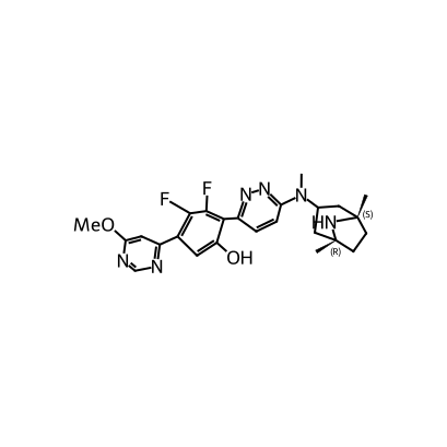 COc1cc(-c2cc(O)c(-c3ccc(N(C)C4C[C@]5(C)CC[C@](C)(C4)N5)nn3)c(F)c2F)ncn1